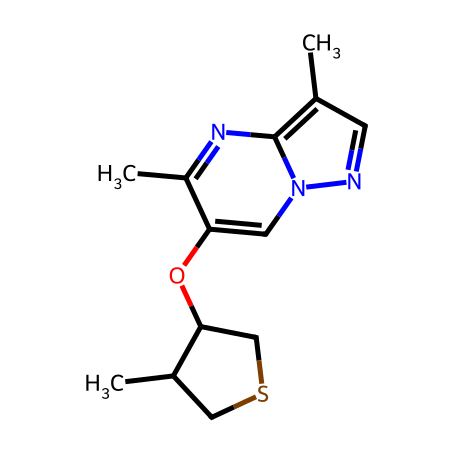 Cc1nc2c(C)cnn2cc1OC1CSCC1C